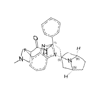 CN1CC(C(=O)N[C@@H](CCN2[C@@H]3CC[C@H]2C[C@H](n2cnc4c(F)cccc42)C3)c2ccccc2)C1